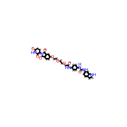 O=C1CCC(N2C(=O)c3ccc(OCCOCCOCC(=O)Nc4ccc(NC(=O)Nc5ccc6cc[nH]c6c5)cc4)cc3C2=O)C(=O)N1